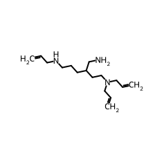 C=CCNCCCC(CN)CCN(CC=C)CC=C